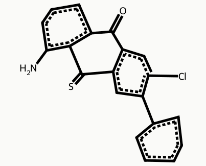 Nc1cccc2c1C(=S)c1cc(-c3ccccc3)c(Cl)cc1C2=O